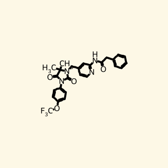 CC1(C)C(=O)N(c2ccc(OC(F)(F)F)cc2)C(=O)N1Cc1ccnc(NC(=O)Cc2ccccc2)c1